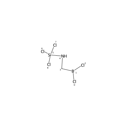 ClB(Cl)CN[Si](Cl)(Cl)Cl